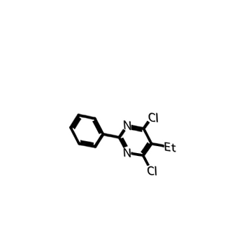 CCc1c(Cl)nc(-c2ccccc2)nc1Cl